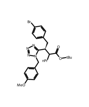 CCCC(C(=O)OC(C)(C)C)[C@H](Cc1ccc(Br)cc1)c1nnnn1Cc1ccc(OC)cc1